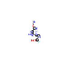 CN(C)CCOc1cncc(-c2cnc3[nH]nc(-c4cc5c(-c6cc(O)cc(F)c6)nccc5[nH]4)c3c2)c1